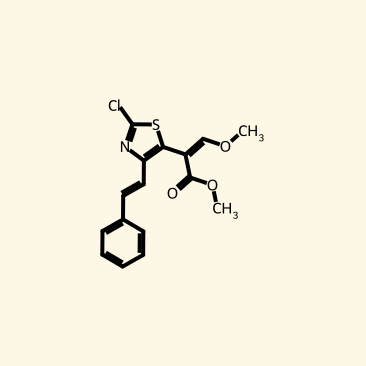 CO/C=C(\C(=O)OC)c1sc(Cl)nc1/C=C/c1ccccc1